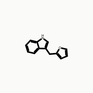 c1coc(Cc2c[nH]c3ccccc23)c1